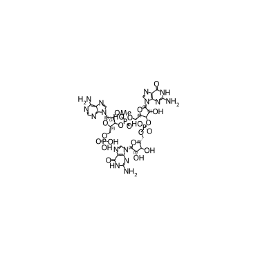 CO[C@H]1C(OP(=O)(O)OC[C@H]2O[C@@H](n3cnc4c(=O)[nH]c(N)nc43)[C@@H](O)C2OP(=O)(O)OC[C@H]2O[C@@H](n3cnc4c(=O)[nH]c(N)nc43)[C@@H](O)C2O)[C@@H](COP(=O)(O)O)O[C@H]1n1cnc2c(N)ncnc21